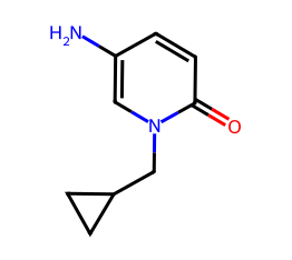 Nc1ccc(=O)n(CC2CC2)c1